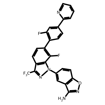 Nc1noc2ccc(-n3nc(C(F)(F)F)c4ccc(-c5ccc(-c6ccccn6)cc5F)c(F)c43)cc12